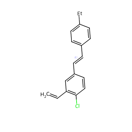 C=Cc1cc(/C=C/c2ccc(CC)cc2)ccc1Cl